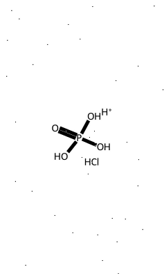 Cl.O=P(O)(O)O.[H+]